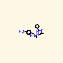 C=C(NCC(=C)N(C)CC1CCCC1)NCc1ccc(N)cc1